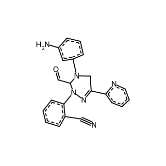 N#Cc1ccccc1N1N=C(c2ccccn2)CN(c2cccc(N)c2)C1C=O